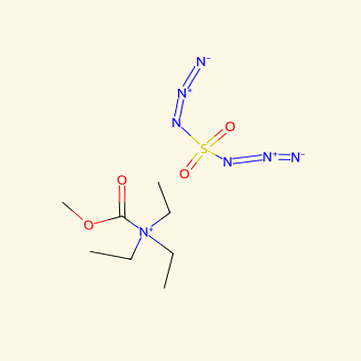 CC[N+](CC)(CC)C(=O)OC.[N-]=[N+]=NS(=O)(=O)N=[N+]=[N-]